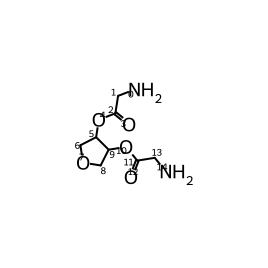 NCC(=O)OC1COCC1OC(=O)CN